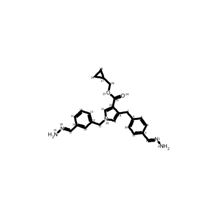 NN=Cc1ccc(Cc2cn(Cc3cccc(C=NN)c3)cc2C(=O)OCC2CC2)cc1